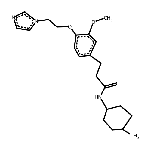 COc1cc(CCC(=O)NC2CCC(C)CC2)ccc1OCCn1ccnc1